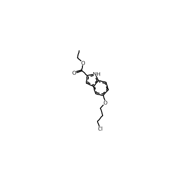 CCOC(=O)c1cc2cc(OCCCCl)ccc2[nH]1